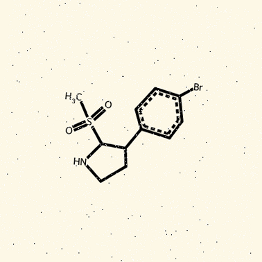 CS(=O)(=O)C1NCCC1c1ccc(Br)cc1